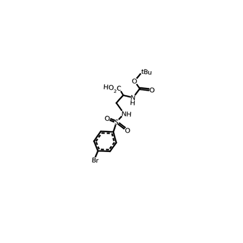 CC(C)(C)OC(=O)NC(CNS(=O)(=O)c1ccc(Br)cc1)C(=O)O